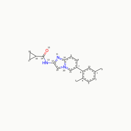 Cc1ccc(C)c(-c2ccc3nc(NC(=O)C4CC4)cn3c2)c1